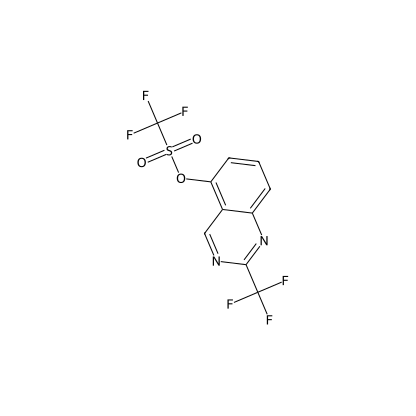 O=S(=O)(Oc1cccc2nc(C(F)(F)F)ncc12)C(F)(F)F